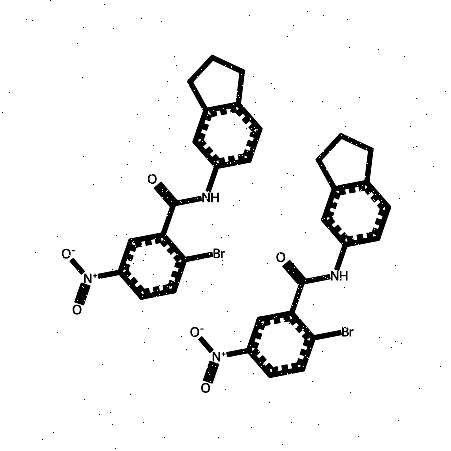 O=C(Nc1ccc2c(c1)CCC2)c1cc([N+](=O)[O-])ccc1Br.O=C(Nc1ccc2c(c1)CCC2)c1cc([N+](=O)[O-])ccc1Br